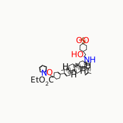 C=C(C)[C@@H]1CC[C@]2(NCC[C@]3(O)CC[C@H](S(C)(=O)=O)CC3)CC[C@]3(C)[C@H](CC[C@@H]4[C@@]5(C)CC=C(C6=CCC(COc7ccccn7)(C(=O)OCC)CC6)C(C)(C)[C@@H]5CC[C@]43C)[C@@H]12